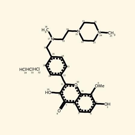 COc1c(O)ccc2c(=O)c(O)c(-c3ccc(CN(C)CCN4CCN(C)CC4)cc3)oc12.Cl.Cl.Cl